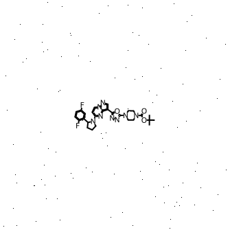 CC(C)(C)OC(=O)N1CCN(c2nnc(-c3cnn4ccc(N5CCCC5c5cc(F)ccc5F)nc34)o2)CC1